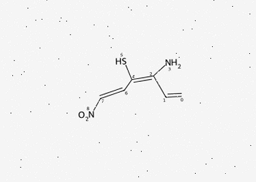 C=C/C(N)=C(S)\C=C\[N+](=O)[O-]